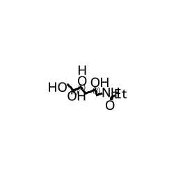 CCC(=O)NC[C@H](O)C[C@H](O)[C@H](O)CO